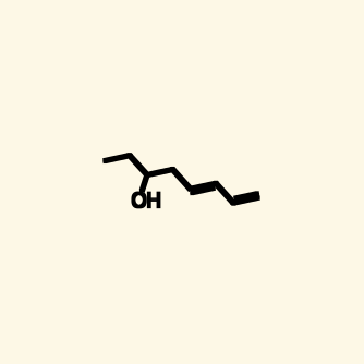 C=CC=CCC(O)CC